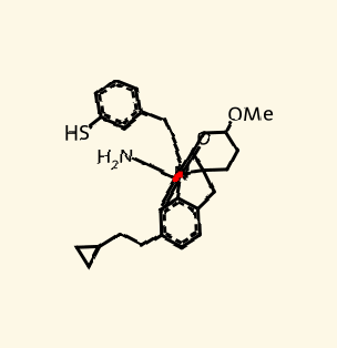 COC1CCC2(CC1)Cc1ccc(CCC3CC3)cc1C21N=C(N)N(Cc2cccc(S)c2)C1=O